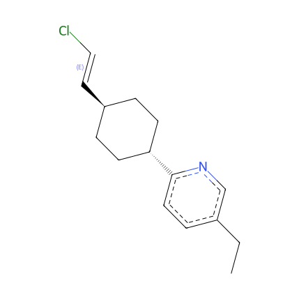 CCc1ccc([C@H]2CC[C@H](/C=C/Cl)CC2)nc1